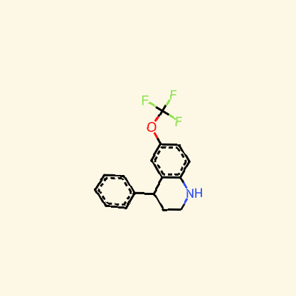 FC(F)(F)Oc1ccc2c(c1)C(c1ccccc1)CCN2